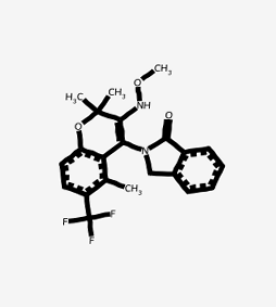 CONC1=C(N2Cc3ccccc3C2=O)c2c(ccc(C(F)(F)F)c2C)OC1(C)C